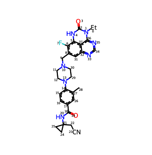 CCN1C(=O)Nc2c(F)c(CN3CCN(c4ccc(C(=O)NC5(CC#N)CC5)cc4C)CC3)cc3ncnc1c23